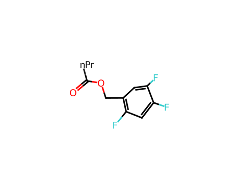 CCCC(=O)OCc1cc(F)c(F)cc1F